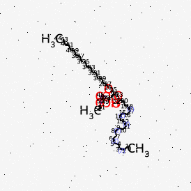 CC/C=C\C/C=C\C/C=C\C/C=C\C/C=C\C/C=C\CCC(=O)O[C@H](COCCCCCCCCCCCCCCCCCC)COP(=O)(O)OCC